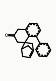 O=C1Cc2cccc(-c3ccccc3)c2C2(C1)CC1=CCC2C1